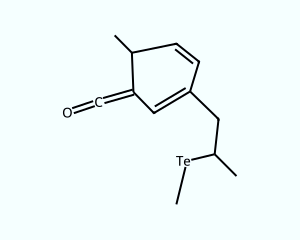 C[Te]C(C)CC1=CC(=C=O)C(C)C=C1